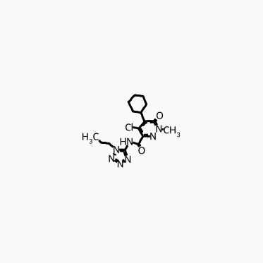 CCCn1nnnc1NC(=O)c1nn(C)c(=O)c(C2CCCCC2)c1Cl